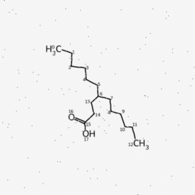 CCCCCCC(CCCCCC)CCC(=O)O